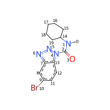 CN(C(=O)n1nnc2cc(Br)ccc21)C1CCCCC1